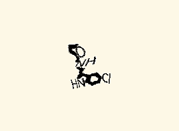 Clc1ccc2[nH]cc(CCNCc3ccco3)c2c1